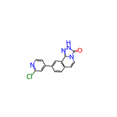 O=c1[nH]nc2c3cc(-c4ccnc(Cl)c4)ccc3ccn12